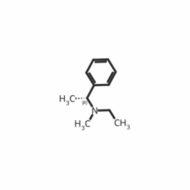 CCN(C)[C@H](C)c1ccccc1